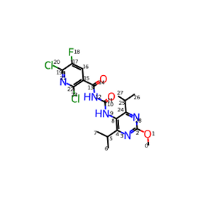 COc1nc(C(C)C)c(NC(=O)NC(=O)c2cc(F)c(Cl)nc2Cl)c(C(C)C)n1